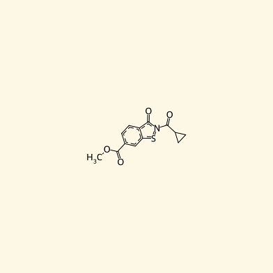 COC(=O)c1ccc2c(=O)n(C(=O)C3CC3)sc2c1